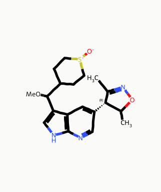 COC(c1c[nH]c2ncc([C@@H]3C(C)=NOC3C)cc12)C1CC[S+]([O-])CC1